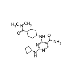 CN(C)C(=O)[C@H]1CC[C@H](Nc2nc(NC3CCC3)ncc2C(N)=O)CC1